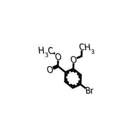 CCOc1cc(Br)ccc1C(=O)OC